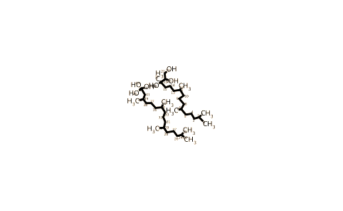 CC(C)CCCC(C)CCCC(C)CCCC(C)(O)C(O)CO.CC(C)CCCC(C)CCCC(C)CCCC(C)CC(O)(O)O